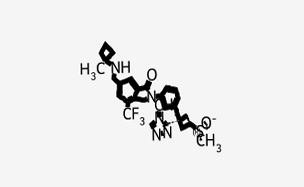 Cn1cnnc1[C@]1(c2cccc(N3Cc4c(cc(CNC5(C)CCC5)cc4C(F)(F)F)C3=O)c2)C[C@@H]([S@+](C)[O-])C1